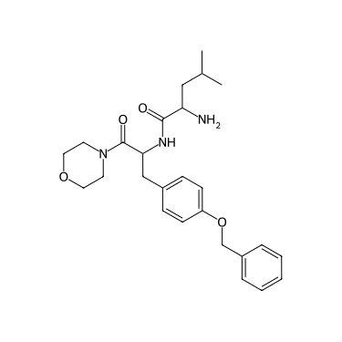 CC(C)CC(N)C(=O)NC(Cc1ccc(OCc2ccccc2)cc1)C(=O)N1CCOCC1